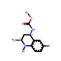 CC(=O)N1c2ccc(F)cc2[C@H](NC(=O)OC(C)C)C[C@@H]1C